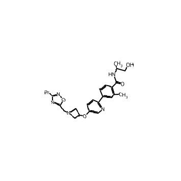 Cc1cc(-c2ccc(OC3CN(Cc4nc(C(C)C)no4)C3)cn2)ccc1C(=O)N[C@@H](C)CO